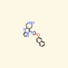 c1ccc2cc(OC3CN(c4c5c(nc6ccnn46)CCNCC5)C3)ccc2c1